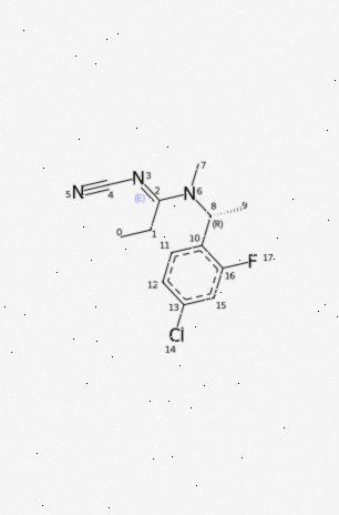 CC/C(=N\C#N)N(C)[C@H](C)c1ccc(Cl)cc1F